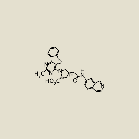 Cc1nc(N2C[C@@H](CC(=O)Nc3ccc4ccncc4c3)C[C@H]2C(=O)O)c2oc3ccccc3c2n1